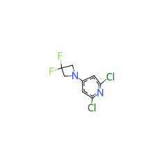 FC1(F)CN(c2cc(Cl)nc(Cl)c2)C1